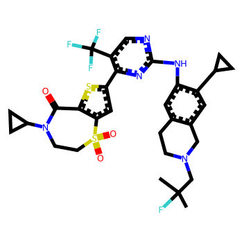 CC(C)(F)CN1CCc2cc(Nc3ncc(C(F)(F)F)c(-c4cc5c(s4)C(=O)N(C4CC4)CCS5(=O)=O)n3)c(C3CC3)cc2C1